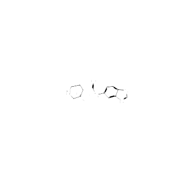 O=C(Nc1ccc2scnc2c1)[C@H]1CCNC[C@@H]1F